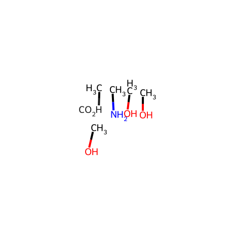 CC(=O)O.CN.CO.CO.CO